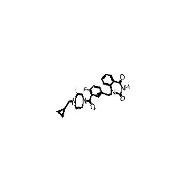 C[C@@H]1CN(C(=O)c2cc(Cn3c(=O)[nH]c(=O)c4ccccc43)ccc2F)CCN1CC1CC1